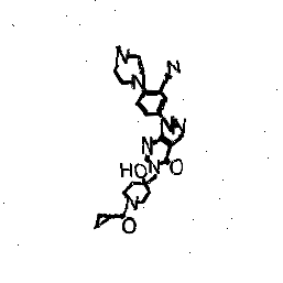 CN1CCN(c2ccc(-n3ncc4c(=O)n(CC5(O)CCN(C(=O)C6CC6)CC5)cnc43)cc2C#N)CC1